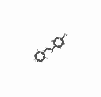 Brc1ccc(/N=C/c2ccncc2)cc1